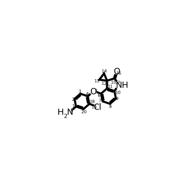 Nc1ccc(Oc2cccc3c2C2(CC2)C(=O)N3)c(Cl)c1